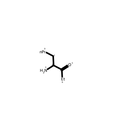 CCCCC(N)C(=O)CC